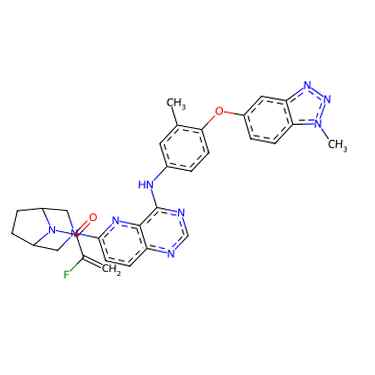 C=C(F)C(=O)N1C2CCC1CN(c1ccc3ncnc(Nc4ccc(Oc5ccc6c(c5)nnn6C)c(C)c4)c3n1)C2